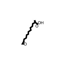 C=C(CCCCCCCCCC1CO1)C(=O)O